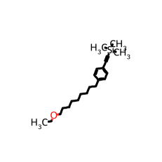 CCOCCCCCCCCCc1ccc(C#C[Si](C)(C)C)cc1